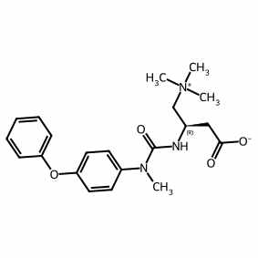 CN(C(=O)N[C@H](CC(=O)[O-])C[N+](C)(C)C)c1ccc(Oc2ccccc2)cc1